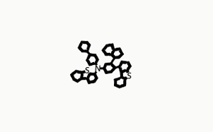 c1ccc(-c2ccc(N(c3ccc(-c4cccc5sc6ccccc6c45)c(-c4cccc5ccccc45)c3)c3cccc4c3sc3ccccc34)cc2)cc1